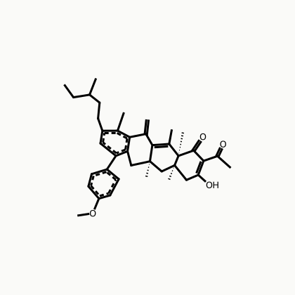 C=C1C2=C(C)[C@@]3(C)C(=O)C(C(C)=O)=C(O)C[C@@]3(C)C[C@@]2(C)Cc2c(-c3ccc(OC)cc3)cc(CCC(C)CC)c(C)c21